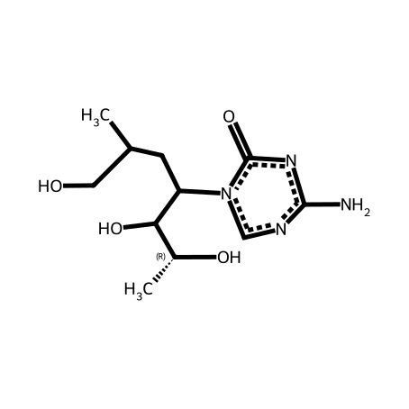 CC(CO)CC(C(O)[C@@H](C)O)n1cnc(N)nc1=O